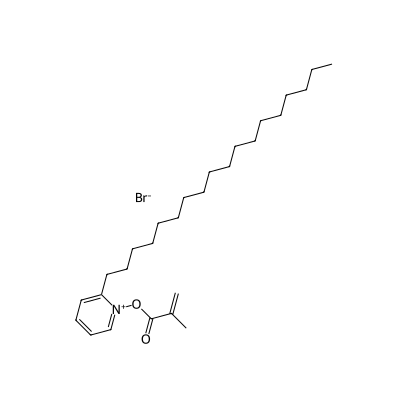 C=C(C)C(=O)O[n+]1ccccc1CCCCCCCCCCCCCCCCCC.[Br-]